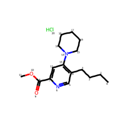 CCCCc1cnc(C(=O)OC)cc1N1CCCCC1.Cl